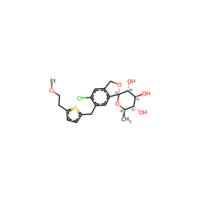 CCOCCc1ccc(Cc2cc3c(cc2Cl)CO[C@]32O[C@H](C)[C@@H](O)[C@H](O)[C@H]2O)s1